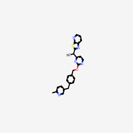 Cc1ccc(Cc2ccc(COc3nccc(C(C#N)c4nc5cccnc5s4)n3)cc2)cn1